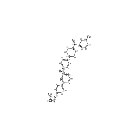 CC(=O)Nc1ccc(-c2ccnc(Nc3ccc(N4CCN(C(=O)c5cccc(F)c5)CC4)cc3)n2)cc1